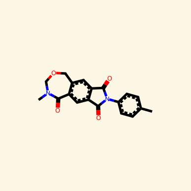 Cc1ccc(N2C(=O)c3cc4c(cc3C2=O)C(=O)N(C)COC4)cc1